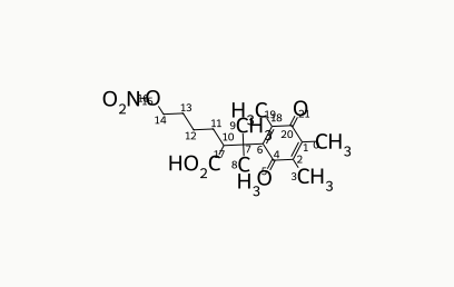 CC1=C(C)C(=O)C(C(C)(C)C(CCCCO[N+](=O)[O-])C(=O)O)=C(C)C1=O